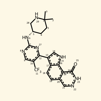 CC1(C)CC[C@H](Nc2ncc(C(F)(F)F)c(-c3c[nH]c4c3ccc3cn[nH]c(=O)c34)n2)CN1